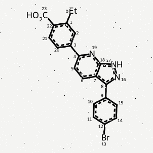 CCc1cc(-c2ccc3c(-c4ccc(Br)cc4)n[nH]c3n2)ccc1C(=O)O